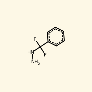 NNC(F)(F)c1ccccc1